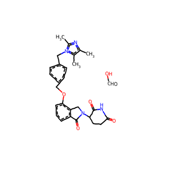 Cc1nc(C)n(Cc2ccc(COc3cccc4c3CN(C3CCC(=O)NC3=O)C4=O)cc2)c1C.O=CO